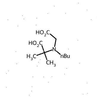 CCCCN(CC(=O)O)C(C)(C)C(=O)O